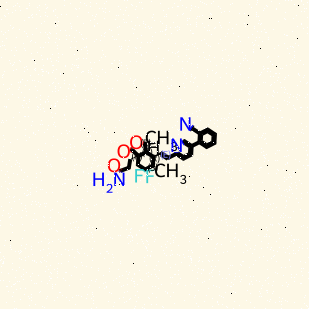 C[C@H]1OC(=O)[C@]2(CCC(N)=O)CC(F)(F)[C@@H](C)[C@H](/C=C/c3ccc(-c4ccccc4C#N)cn3)[C@H]12